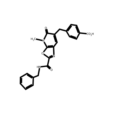 Cn1c(=O)c(Cc2ccc(C(=O)O)cc2)cc2nc(C(=O)NCc3ccccc3)oc21